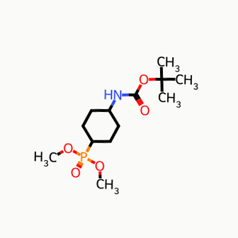 COP(=O)(OC)C1CCC(NC(=O)OC(C)(C)C)CC1